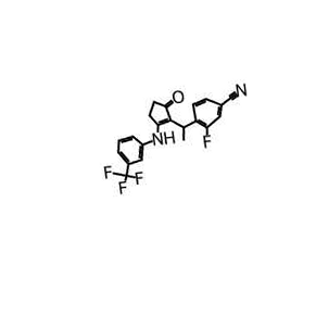 CC(C1=C(Nc2cccc(C(F)(F)F)c2)CCC1=O)c1ccc(C#N)cc1F